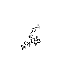 Fc1cccc(F)c1-c1nc(NN=Cc2ccc(OC(F)(F)F)cc2)nc(Nc2cccc(C(F)(F)F)c2)n1